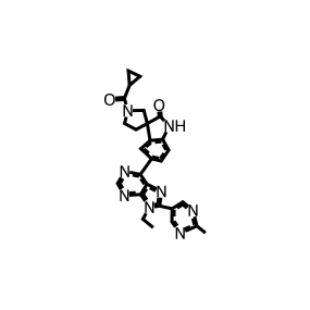 CCn1c(-c2cnc(C)nc2)nc2c(-c3ccc4c(c3)C3(CCN(C(=O)C5CC5)C3)C(=O)N4)ncnc21